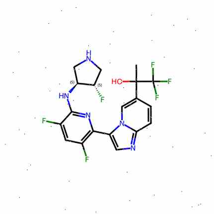 CC(O)(c1ccc2ncc(-c3nc(N[C@H]4CNC[C@@H]4F)c(F)cc3F)n2c1)C(F)(F)F